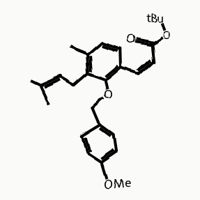 COc1ccc(COc2c(/C=C\C(=O)OC(C)(C)C)ccc(C)c2CC=C(C)C)cc1